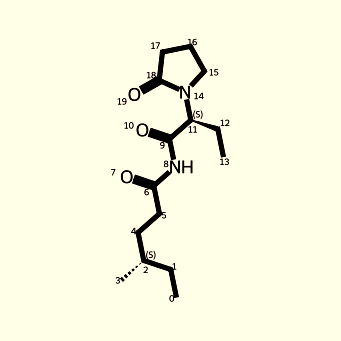 CC[C@H](C)CCC(=O)NC(=O)[C@H](CC)N1CCCC1=O